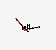 CCCCCCCCCCCCCCCCNC(=O)OCC(CC)(CC)COC(=O)NCCCCCCCCCCCCCCCC